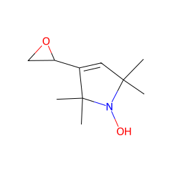 CC1(C)C=C(C2CO2)C(C)(C)N1O